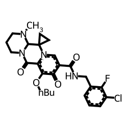 CCCCOc1c2n(cc(C(=O)NCc3cccc(Cl)c3F)c1=O)C1(CC1)C1N(C)CCCN1C2=O